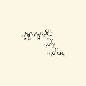 CC(C)=CCC/C(C)=C/CC/C(C)=C/CNCCCN1CCCC1